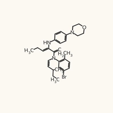 C=C(/C(=C/CC)Nc1ccc(N2CCOCC2)cc1)N(/C=C\C(C)CC)c1cc(Br)ccc1C